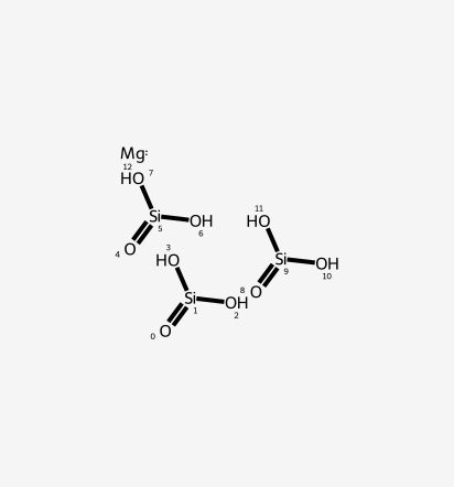 O=[Si](O)O.O=[Si](O)O.O=[Si](O)O.[Mg]